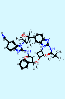 CC(C)(C)C(=O)Nc1nc2ccc(C(C)(C)O)cc2n1C1CC(OC(C)(CC(=O)Nc2nc3ccc(C#N)cc3n2C(C)(C)C)c2ccccc2)C1